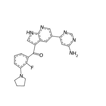 Nc1cc(-c2cnc3[nH]cc(C(=O)c4cccc(N5CCCC5)c4F)c3c2)ncn1